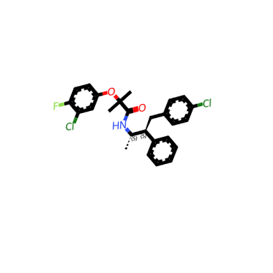 C[C@H](NC(=O)C(C)(C)Oc1ccc(F)c(Cl)c1)[C@@H](Cc1ccc(Cl)cc1)c1ccccc1